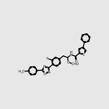 Cc1ccc(-c2nc(-c3ccc(CC(NC(=O)c4cc(-c5ccccc5)cs4)OC=O)cc3F)no2)cc1